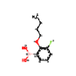 CCCCOc1c(F)cccc1B(O)O